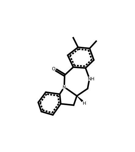 Cc1cc2c(cc1C)C(=O)N1c3ccccc3C[C@H]1CN2